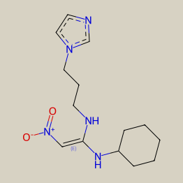 O=[N+]([O-])/C=C(\NCCCn1ccnc1)NC1CCCCC1